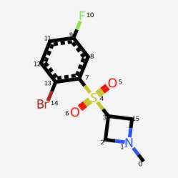 CN1CC(S(=O)(=O)c2cc(F)ccc2Br)C1